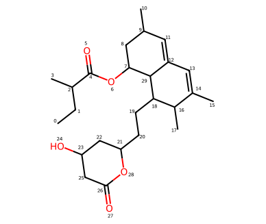 CCC(C)C(=O)OC1CC(C)C=C2C=C(C)C(C)C(CCC3CC(O)CC(=O)O3)C21